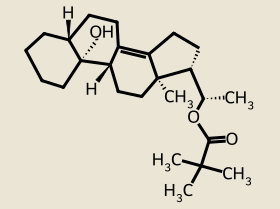 C[C@H](OC(=O)C(C)(C)C)[C@H]1CCC2=C3CC[C@H]4CCCC[C@]4(CO)[C@H]3CC[C@@]21C